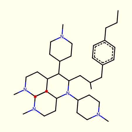 CCCc1ccc(CC(C)CC(C(C2CCN(C)CC2)C2CCN(C)CC2)N(C2CCN(C)CC2)C2CCN(C)CC2)cc1